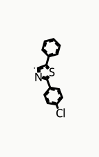 Clc1ccc(-c2n[c]c(-c3ccccc3)s2)cc1